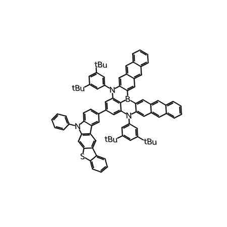 CC(C)(C)c1cc(N2c3cc4cc5ccccc5cc4cc3B3c4cc5cc6ccccc6cc5cc4N(c4cc(C(C)(C)C)cc(C(C)(C)C)c4)c4cc(-c5ccc6c(c5)c5cc7c(cc5n6-c5ccccc5)sc5ccccc57)cc2c43)cc(C(C)(C)C)c1